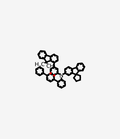 CC1(C)c2ccccc2-c2cccc(-c3cccc(N(c4ccc5c(c4)C4(CCCC4)c4ccccc4-5)c4ccccc4-c4ccc(-c5ccccc5)cc4)c3)c21